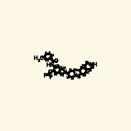 Cc1cccc(C(=O)Nc2cc3cn(C4CCN(CC5CCC6(CCNCC6)CC5)CC4)nc3cc2OC(F)F)n1